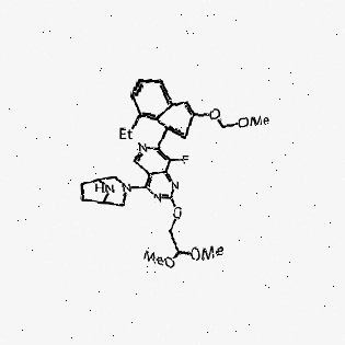 CCc1cccc2cc(OCOC)cc(-c3ncc4c(N5CC6CCC(C5)N6)nc(OCC(OC)OC)nc4c3F)c12